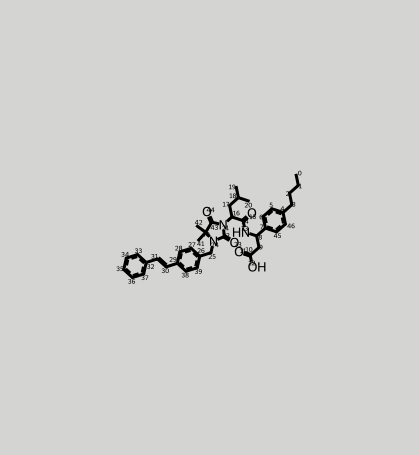 CCCCc1ccc(C(CC(=O)O)NC(=O)C(CC(C)C)N2C(=O)N(Cc3ccc(C=Cc4ccccc4)cc3)C(C)(C)C2=O)cc1